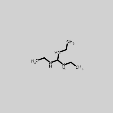 CCNC(NCC)NC[SiH3]